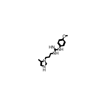 COc1ccc(NC(=N)NCCCN2CNC=C2C)cc1